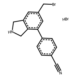 Br.N#Cc1ccc(-c2cc(CBr)cc3c2CNC3)cc1